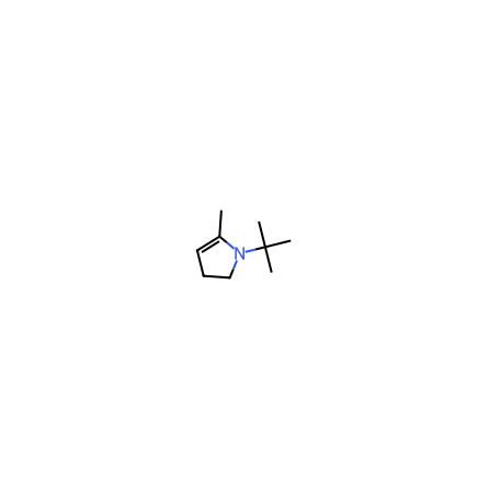 CC1=CCCN1C(C)(C)C